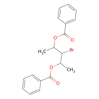 CC(OC(=O)c1ccccc1)C(Br)C(C)OC(=O)c1ccccc1